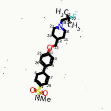 CNS(=O)(=O)C1=CCC(c2ccc(OCC3CCN(CC(C)(C)F)CC3)cc2)C=C1